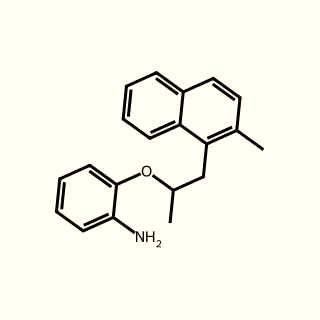 Cc1ccc2ccccc2c1CC(C)Oc1ccccc1N